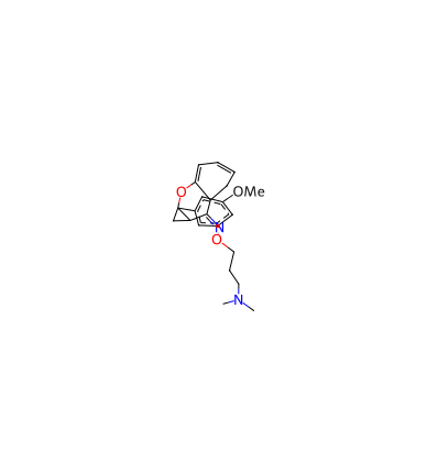 COc1cccc(C23CC2C(=NOCCCN(C)C)C2CC=CC=C2O3)c1